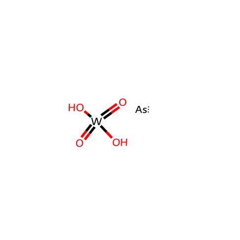 [As].[O]=[W](=[O])([OH])[OH]